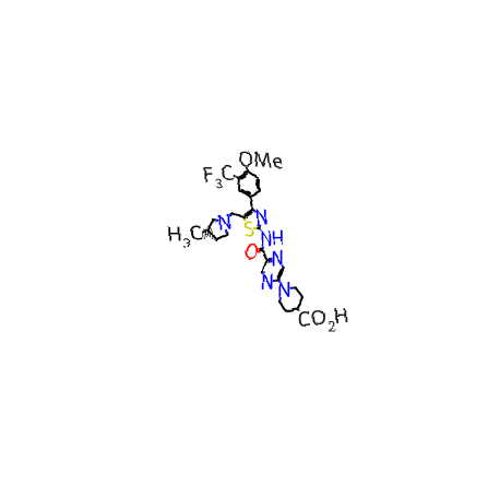 COc1ccc(-c2nc(NC(=O)c3cnc(N4CCC(C(=O)O)CC4)cn3)sc2CN2CC[C@@H](C)C2)cc1C(F)(F)F